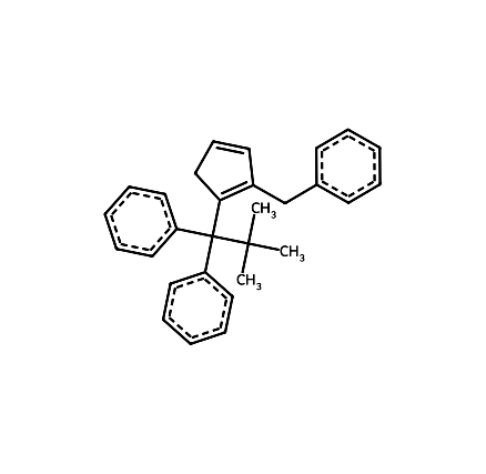 CC(C)(C)C(C1=C(Cc2ccccc2)C=CC1)(c1ccccc1)c1ccccc1